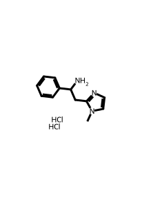 Cl.Cl.Cn1ccnc1CC(N)c1ccccc1